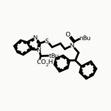 CCCCC(=O)N(CCCSc1nc2ccccc2n1C(C(=O)O)C(C)(C)C)CC(c1ccccc1)c1ccccc1